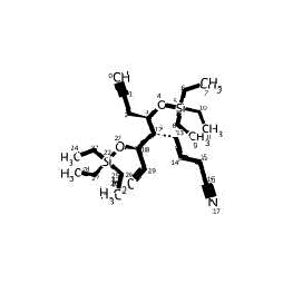 C#CC[C@@H](O[Si](CC)(CC)CC)[C@H](CCCC#N)[C@@H](C=C)O[Si](CC)(CC)CC